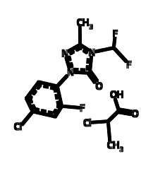 CC(Cl)C(=O)O.Cc1nn(-c2ccc(Cl)cc2F)c(=O)n1C(F)F